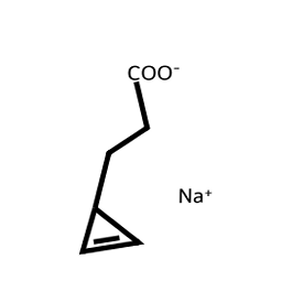 O=C([O-])CCC1C=C1.[Na+]